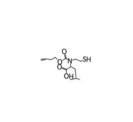 C=CCCOC(=O)N(CCS)C(CC(C)C)C(=O)O